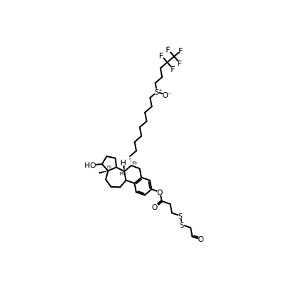 C[C@]12CCCC3c4ccc(OC(=O)CCSSCC=O)cc4C[C@@H](CCCCCCCCC[S+]([O-])CCCC(F)(F)C(F)(F)F)[C@H]3C1CCC2O